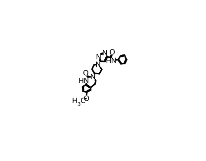 COc1ccc2c(c1)CCN(C1CCN(c3cc(C(=O)Nc4ccccc4)ncn3)CC1)C(=O)N2